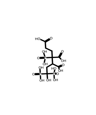 O=C(O)CCC(C(=O)O)(C(CC(O)(P(=O)(O)O)P(=O)(O)O)C(=O)O)P(=O)(O)O